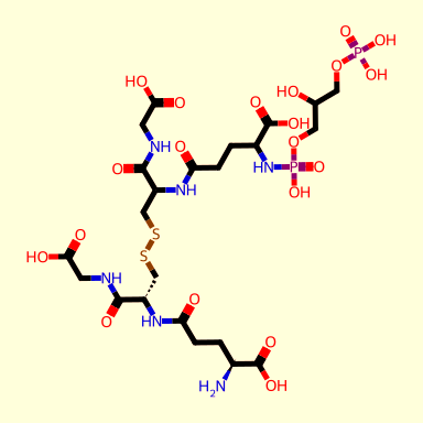 N[C@@H](CCC(=O)N[C@@H](CSSCC(NC(=O)CCC(NP(=O)(O)OCC(O)COP(=O)(O)O)C(=O)O)C(=O)NCC(=O)O)C(=O)NCC(=O)O)C(=O)O